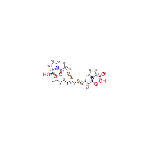 CCCCCC(CSSCC(C)C(=O)N1CCCC1C(=O)O)SSCC(C)C(=O)N1CCCC1C(=O)O